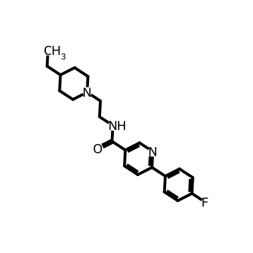 CCC1CCN(CCNC(=O)c2ccc(-c3ccc(F)cc3)nc2)CC1